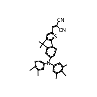 Cc1ccc(N(c2cc(C)c(C)c(C)c2)c2ccc3c(c2)C(C)(C)c2cc(C=C(C#N)C#N)sc2-3)cc1C